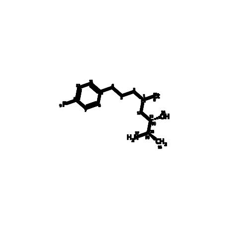 CCN(CCCc1ccc(F)cc1)C[C@H](O)[C@@H](C)N